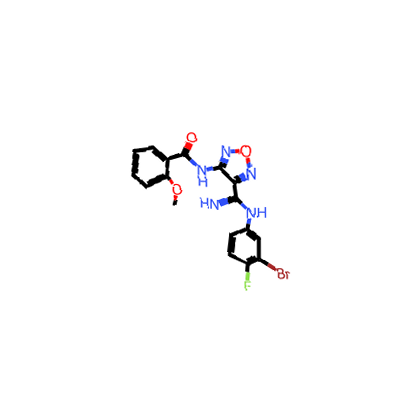 COc1ccccc1C(=O)Nc1nonc1C(=N)Nc1ccc(F)c(Br)c1